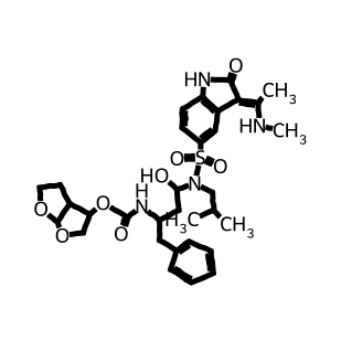 CNC(C)=C1C(=O)Nc2ccc(S(=O)(=O)N(CC(C)C)C(O)CC(Cc3ccccc3)NC(=O)OC3COC4OCCC34)cc21